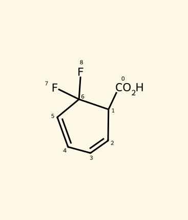 O=C(O)C1C=CC=CC1(F)F